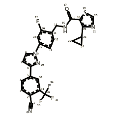 N#Cc1ccc(-c2ccn(-c3ccc(CNC(=O)c4scnc4C4CC4)c(F)c3)n2)cc1C(F)(F)F